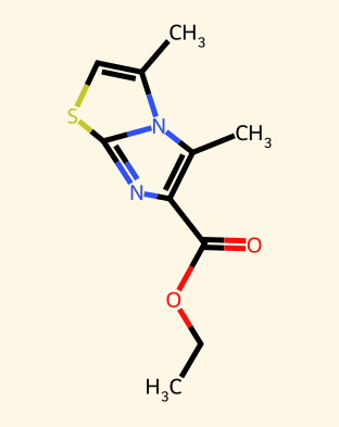 CCOC(=O)c1nc2scc(C)n2c1C